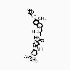 CC(=O)N(C)[C@H]1CC[C@H](Nc2cc(C(=O)NC[C@H](O)CN3CCc4c(ccc(OCc5cnco5)c4C)C3)ncn2)CC1